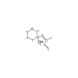 C=CC(C)=CC1(O)CCCCC1